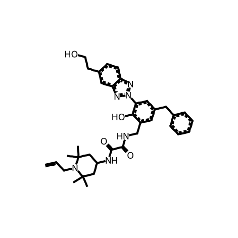 C=CCN1C(C)(C)CC(NC(=O)C(=O)NCc2cc(Cc3ccccc3)cc(-n3nc4ccc(CCO)cc4n3)c2O)CC1(C)C